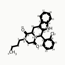 CCCCN1CC(=O)N2C(Cc3c([nH]c4ccccc34)C2c2ccccc2Cl)C1=O